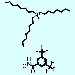 CCCCCCCC[N+](C)(CCCCCCCC)CCCCCCCC.O=C(N[O-])c1cc(C(F)(F)F)cc(C(F)(F)F)c1